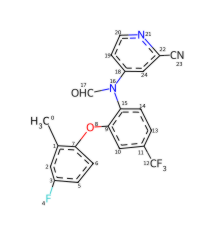 Cc1cc(F)ccc1Oc1cc(C(F)(F)F)ccc1N(C=O)c1ccnc(C#N)c1